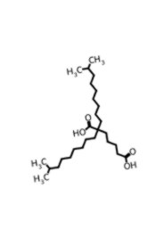 CC(C)CCCCCCCC(CCCCCCCC(C)C)(CCCCC(=O)O)C(=O)O